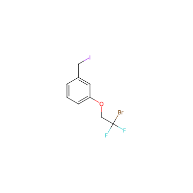 FC(F)(Br)COc1cccc(CI)c1